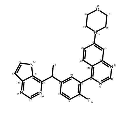 CC(c1ccc(F)c(-c2ncnc3cc(N4CCOCC4)ccc23)c1)c1ncnc2ccsc12